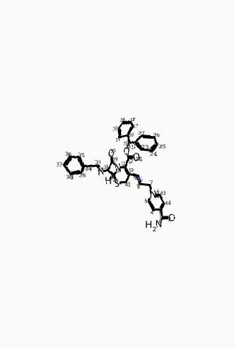 NC(=O)c1cc[n+](C/C=C/C2=C(C(=O)OC(c3ccccc3)c3ccccc3)N3C(=O)C(N=Cc4ccccc4)[C@@H]3SC2)cc1